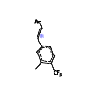 CC(=O)/C=C/c1ccc(C(F)(F)F)c(C)c1